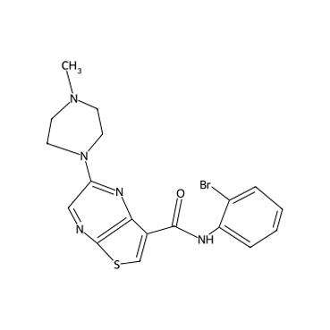 CN1CCN(c2cnc3scc(C(=O)Nc4ccccc4Br)c3n2)CC1